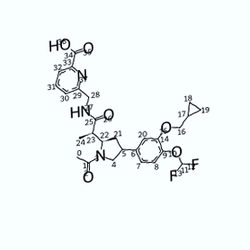 CC(=O)N1CC(c2ccc(OC(F)F)c(OCC3CC3)c2)C[C@@H]1[C@@H](C)C(=O)NCc1cccc(C(=O)O)n1